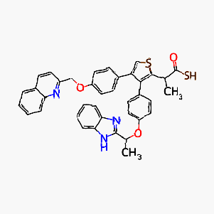 CC(Oc1ccc(-c2c(-c3ccc(OCc4ccc5ccccc5n4)cc3)csc2C(C)C(=O)S)cc1)c1nc2ccccc2[nH]1